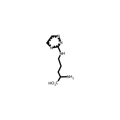 NC(CCCNc1nccnn1)C(=O)O